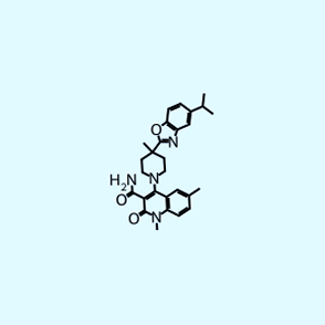 Cc1ccc2c(c1)c(N1CCC(C)(c3nc4cc(C(C)C)ccc4o3)CC1)c(C(N)=O)c(=O)n2C